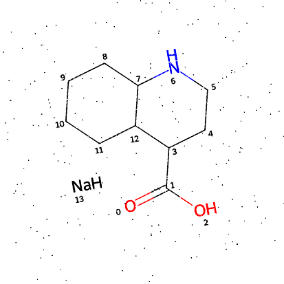 O=C(O)C1CCNC2CCCCC21.[NaH]